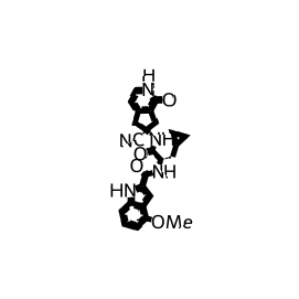 COc1cccc2[nH]c(C(=O)N[C@@H](CC3CC3)C(=O)N[C@@]3(C#N)Cc4cc[nH]c(=O)c4C3)cc12